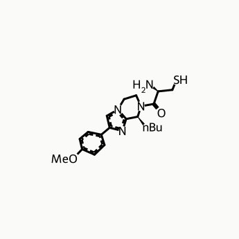 CCCC[C@H]1c2nc(-c3ccc(OC)cc3)cn2CCN1C(=O)[C@@H](N)CS